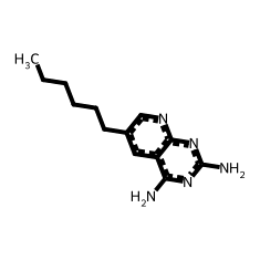 CCCCCCc1cnc2nc(N)nc(N)c2c1